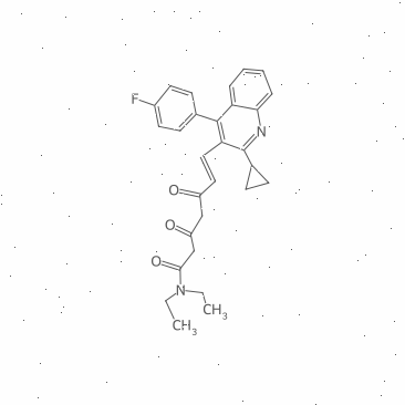 CCN(CC)C(=O)CC(=O)CC(=O)C=Cc1c(C2CC2)nc2ccccc2c1-c1ccc(F)cc1